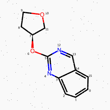 c1ccc2nc(O[C@H]3CCOC3)ncc2c1